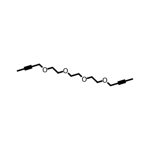 CC#CCOCCOCCOCCOCC#CC